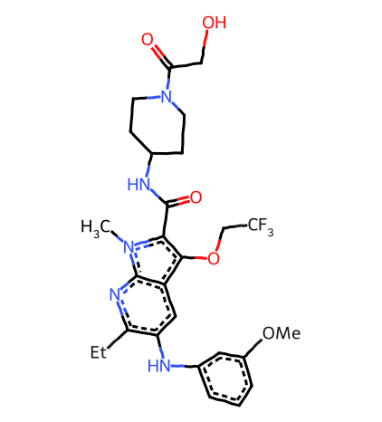 CCc1nc2c(cc1Nc1cccc(OC)c1)c(OCC(F)(F)F)c(C(=O)NC1CCN(C(=O)CO)CC1)n2C